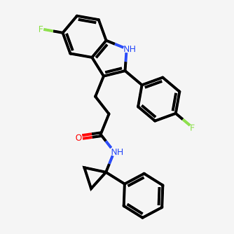 O=C(CCc1c(-c2ccc(F)cc2)[nH]c2ccc(F)cc12)NC1(c2ccccc2)CC1